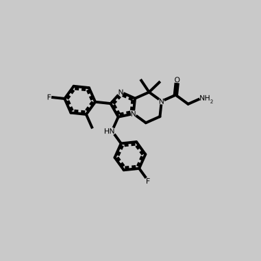 Cc1cc(F)ccc1-c1nc2n(c1Nc1ccc(F)cc1)CCN(C(=O)CN)C2(C)C